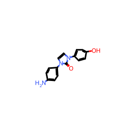 Nc1ccc(-n2ccn(-c3ccc(O)cc3)c2=O)cc1